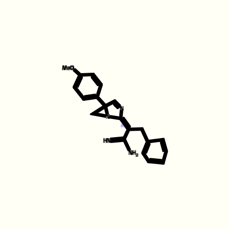 COc1ccc(C23C=N/C(=C(\Cc4ccccc4)C(=N)N)N2C3)cc1